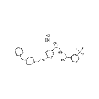 CC(CNCC(O)c1cccc(C(F)(F)F)c1)c1ccc(OCCN2CCN(Cc3ccccc3)CC2)cc1.Cl.Cl.Cl